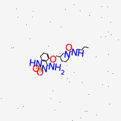 CCCCNC(=O)N1CCCC(COC2=CCCC3=C2C(N)=NS(=O)(=O)N3)C1